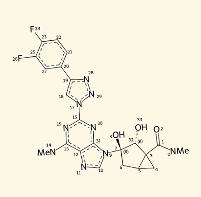 CNC(=O)C12CC1C[C@](O)(n1cnc3c(NC)nc(-n4cc(-c5ccc(F)c(F)c5)nn4)nc31)[C@@H]2O